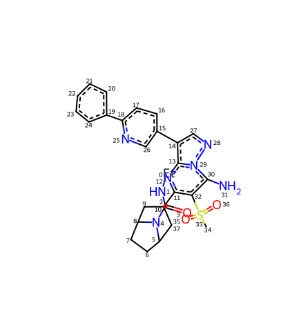 CCNC(=O)N1C2CCC1CC(c1nc3c(-c4ccc(-c5ccccc5)nc4)cnn3c(N)c1S(C)(=O)=O)C2